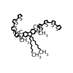 CCCCCCCCC1(CCCCCCCC)c2cc(N(C)c3ccc(-c4ccc(-c5ccc(-c6cccs6)s5)s4)s3)c(C)cc2-c2cc(C)c(N(C)c3ccc(-c4ccc(-c5ccc(-c6cccs6)s5)s4)s3)cc21